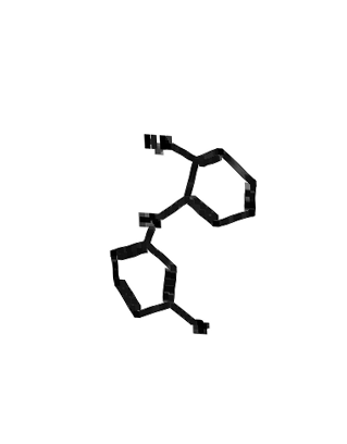 Nc1ccccc1Nc1cccc(Br)c1